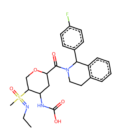 CCN=S(C)(=O)C1COC(C(=O)N2CCc3ccccc3C2c2ccc(F)cc2)CC1NC(=O)O